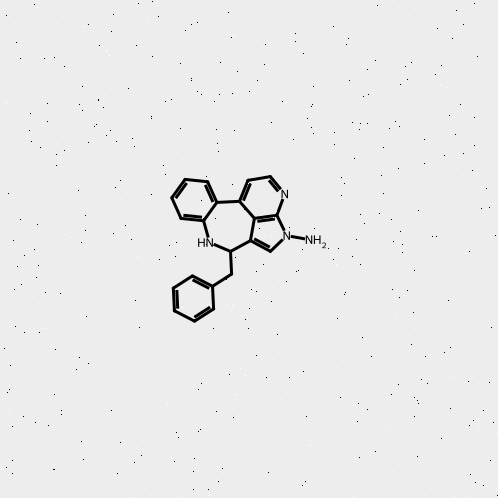 Nn1cc2c3c(ccnc31)-c1ccccc1NC2Cc1ccccc1